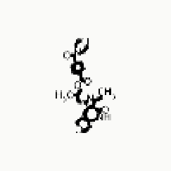 CCc1nn(CC(C)COC(=O)c2ccc(C(=O)N3CCOCC3)cc2)c2c1C(=O)NCC1(CCOCC1)C2